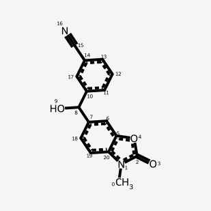 Cn1c(=O)oc2cc(C(O)c3cccc(C#N)c3)ccc21